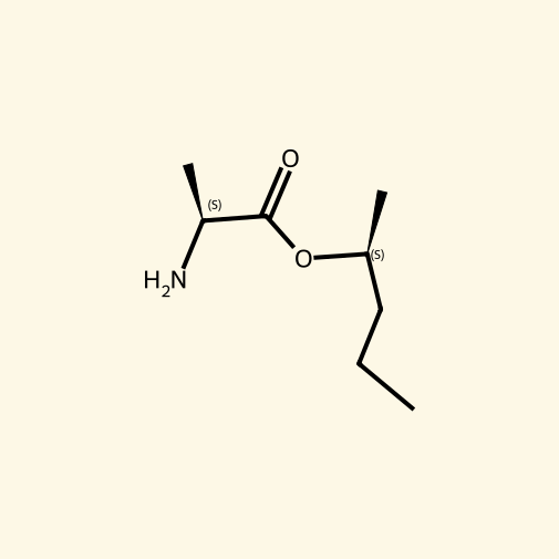 CCC[C@H](C)OC(=O)[C@H](C)N